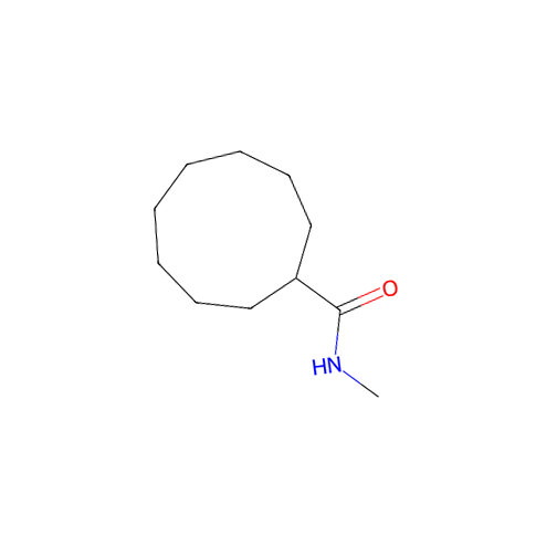 CNC(=O)C1CCCCCCCC1